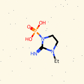 CCN1CCN(P(=O)(O)O)C1=N